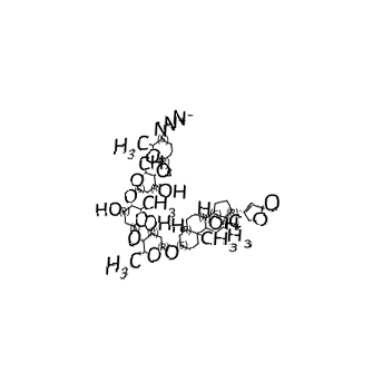 CC1O[C@@H](OC2C(C)O[C@@H](O[C@H]3CCC4(C)C5CCC6(C)[C@@H](C7=CC(=O)OC7)CC[C@]6(O)[C@@H]5CC[C@@H]4C3)C[C@H]2O)C[C@@H](O)C1O[C@H]1C[C@@H](O)C(O[C@@H]2CC[C@H](N=[N+]=[N-])C(C)O2)C(C)O1